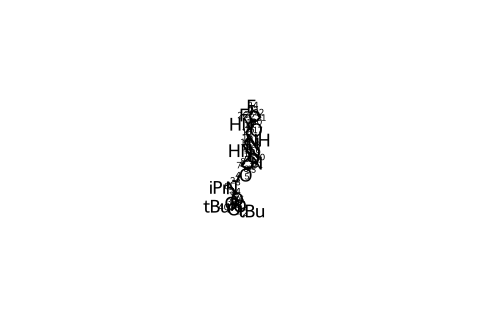 CC(C)N(CCCOc1ccc2c(Nc3cc(CC(=O)Nc4cccc(F)c4F)[nH]n3)ncnc2c1)CCOP(=O)(OC(C)(C)C)OC(C)(C)C